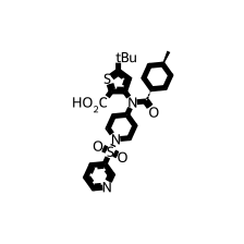 CC(C)(C)c1cc(N(C(=O)[C@H]2CC[C@H](C)CC2)C2CCN(S(=O)(=O)c3cccnc3)CC2)c(C(=O)O)s1